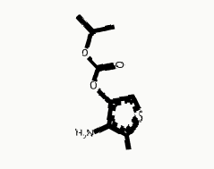 Cc1scc(OC(=O)OC(C)C)c1N